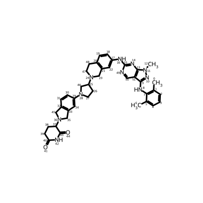 Cc1cccc(C)c1Nc1nn(C)c2nc(Nc3ccc4c(c3)CN(C3CCN(c5ccc6c(c5)CN(C5CCC(=O)NC5=O)C6)C3)CC4)ncc12